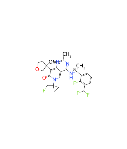 COC1(c2c(=O)n(C3(CF)CC3)cc3c(N[C@H](C)c4cccc(C(F)F)c4F)nc(C)nc23)CCOC1